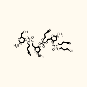 B[C@H]1C[C@@H](OP(=O)(OCCC#N)OCC2O[C@@H](B)C[C@H]2OP(=O)(OCCC#N)OCC2O[C@@H](B)C[C@H]2OP(=O)(OCCC#N)OCCCS)C(CO)O1